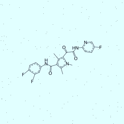 Cc1c(C(=O)Nc2ccc(F)c(F)c2)c(C)n(C)c1C(=O)C(=O)Nc1ccc(F)cn1